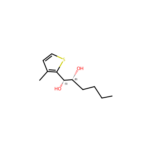 CCCC[C@@H](O)[C@H](O)c1sccc1C